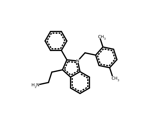 Cc1ccc(C)c(Cn2c(-c3ccccc3)c(CCN)c3ccccc32)c1